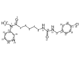 CN(C(=O)CCCCCNC(=O)NCc1ccc(Cl)cc1)c1cccnc1